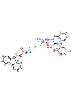 CC(C)CC(NC(=O)C(Cc1ccccc1)NC(=O)C(N)CCCCNC(=O)OCC1c2ccccc2-c2ccccc21)C(=O)O